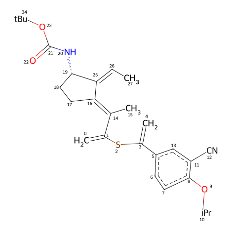 C=C(SC(=C)c1ccc(OC(C)C)c(C#N)c1)/C(C)=C1\CC[C@H](NC(=O)OC(C)(C)C)\C1=C\C